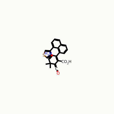 CC1(C)C=C(N)C(c2cccc3cccc(-c4ccsc4)c23)=C(C(=O)O)C1=C=O